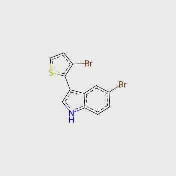 Brc1ccc2[nH]cc(-c3sccc3Br)c2c1